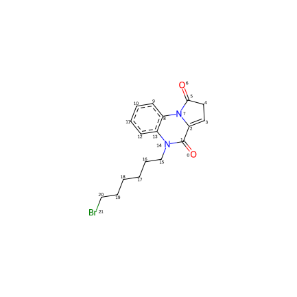 O=C1C2=CCC(=O)N2c2ccccc2N1CCCCCCBr